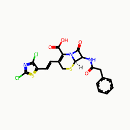 O=C(Cc1ccccc1)NC1C(=O)N2C(C(=O)O)=C(/C=C/c3sc(Cl)nc3Cl)CS[C@H]12